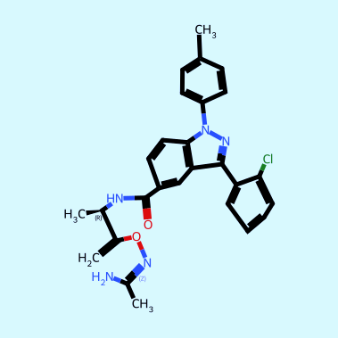 C=C(O/N=C(/C)N)[C@@H](C)NC(=O)c1ccc2c(c1)c(-c1ccccc1Cl)nn2-c1ccc(C)cc1